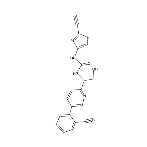 C#Cc1nc(NC(=O)NC(CO)c2ccc(-c3ccccc3C#N)cn2)cs1